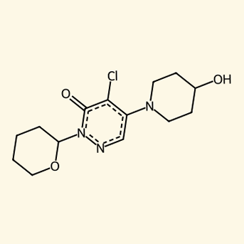 O=c1c(Cl)c(N2CCC(O)CC2)cnn1C1CCCCO1